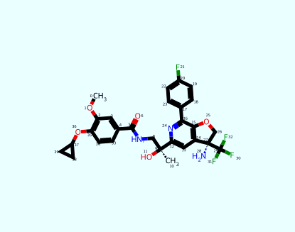 COc1cc(C(=O)NC[C@](C)(O)c2cc3c(c(-c4ccc(F)cc4)n2)OC[C@@]3(N)C(F)(F)F)ccc1OC1CC1